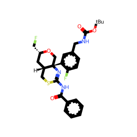 CC(C)(C)OC(=O)NCc1ccc(F)c([C@]23CO[C@@H](CF)C[C@H]2CSC(NC(=O)c2ccccc2)=N3)c1